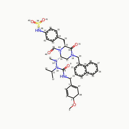 COC1C=CC(CNC(=O)N(C(C)C)N(C)[C@H]2CN(Cc3cccc4ccccc34)C(=O)[C@H](Cc3ccc(N[SH](=O)=O)cc3)N2C=O)=CC1